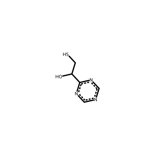 OC(CS)c1ncncn1